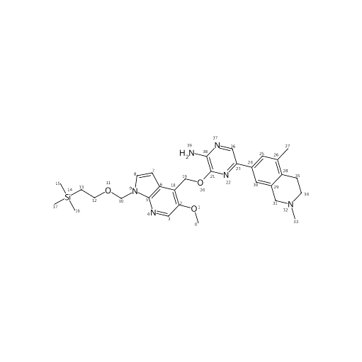 COc1cnc2c(ccn2COCC[Si](C)(C)C)c1COc1nc(-c2cc(C)c3c(c2)CN(C)CC3)cnc1N